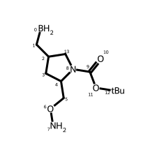 BCC1CC(CON)N(C(=O)OC(C)(C)C)C1